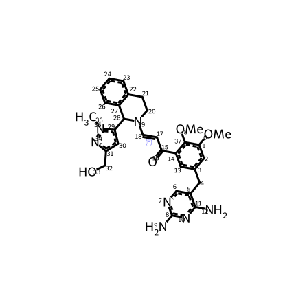 COc1cc(Cc2cnc(N)nc2N)cc(C(=O)/C=C/N2CCc3ccccc3C2c2cc(CO)nn2C)c1OC